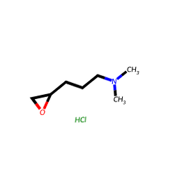 CN(C)CCCC1CO1.Cl